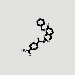 CC(Nc1ncc2ccc(=O)n(Cc3ccccc3)c2n1)c1ccc(C(=O)O)cc1